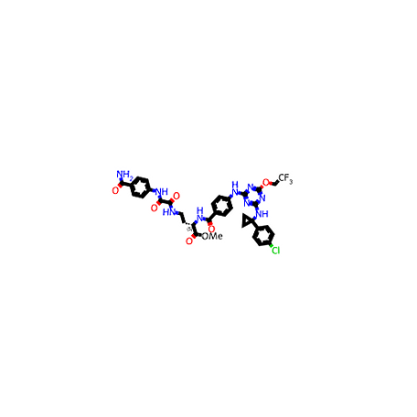 COC(=O)[C@H](CCNC(=O)C(=O)Nc1ccc(C(N)=O)cc1)NC(=O)c1ccc(Nc2nc(NC3(c4ccc(Cl)cc4)CC3)nc(OCC(F)(F)F)n2)cc1